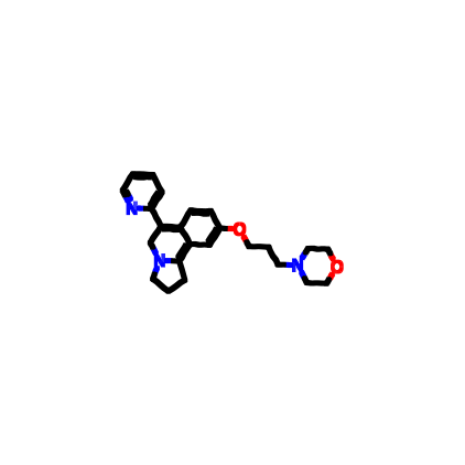 c1ccc(C2=c3ccc(OCCCN4CCOCC4)cc3=C3CCCN3C2)nc1